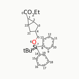 CCOC(=O)C1C2CC(CO[Si](c3ccccc3)(c3ccccc3)C(C)(C)C)CC21